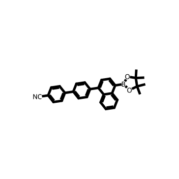 CC1(C)OB(c2ccc(-c3ccc(-c4ccc(C#N)cc4)cc3)c3ccccc23)OC1(C)C